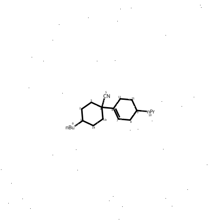 CCCCC1CCC(C#N)(C2=CCC(CCC)CC2)CC1